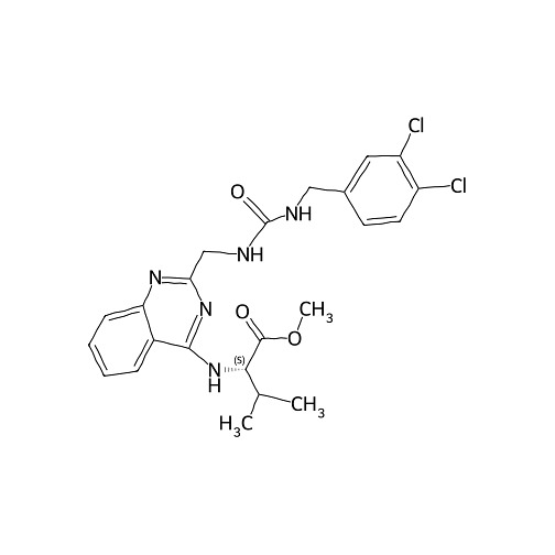 COC(=O)[C@@H](Nc1nc(CNC(=O)NCc2ccc(Cl)c(Cl)c2)nc2ccccc12)C(C)C